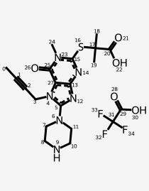 CC#CCn1c(N2CCNCC2)nc2nc(SC(C)(C)C(=O)O)n(C)c(=O)c21.O=C(O)C(F)(F)F